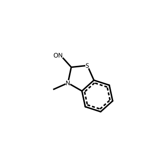 CN1c2ccccc2SC1N=O